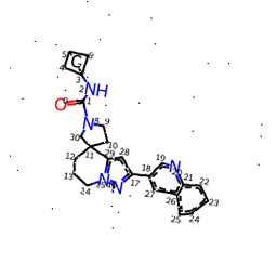 O=C(NC12CC(C1)C2)N1CCC2(CCCn3nc(-c4cnc5ccccc5c4)cc32)C1